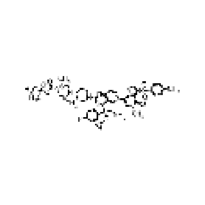 Cc1ccc(S(=O)(=O)n2ccc3c(-c4ccc5nc(N6CCC(N7C[C@@H](C)N(C(=O)OC(C)(C)C)C[C@@H]7C)CC6)nc(C(CN)(OC6CC6)c6ccc(F)cc6)c5c4)cn(C)c(=O)c32)cc1